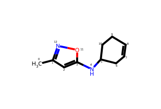 Cc1cc(NC2CC=CCC2)on1